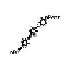 CCCCC#Cc1ccc(C#Cc2ccc(CC[C@H]3CC[C@H](CCCCC)CC3)cc2)cc1